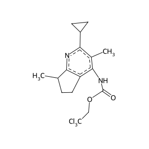 Cc1c(C2CC2)nc2c(c1NC(=O)OCC(Cl)(Cl)Cl)CCC2C